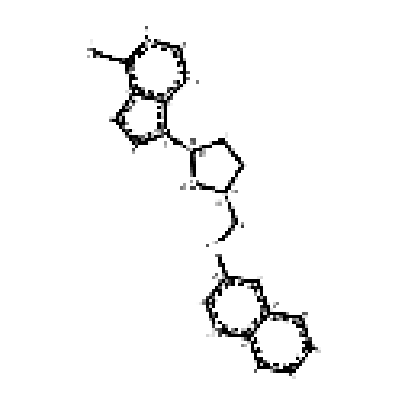 Clc1ncnc2c1ccn2[C@H]1CC[C@@H](COc2cnc3ccccc3c2)O1